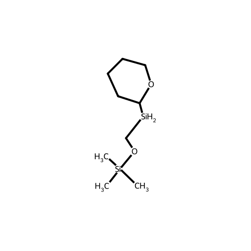 C[Si](C)(C)OC[SiH2]C1CCCCO1